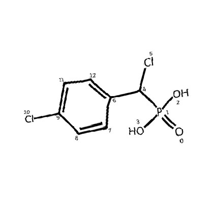 O=P(O)(O)C(Cl)c1ccc(Cl)cc1